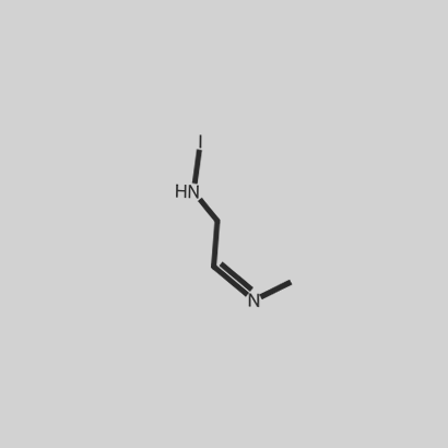 C/N=C\CNI